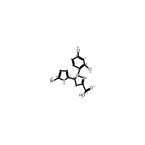 O=C(O)C1=NN(c2ccc(Cl)cc2Cl)C(c2ccc(Br)s2)C1